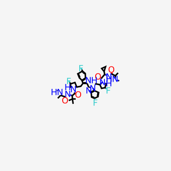 CNC(C)C(=O)NC(C(=O)N1CC(F)CC1Cn1c(-c2[nH]c3cc(F)ccc3c2CC2CC(F)CN2C(=O)C(NC(=O)C(C)NC)C(C)(C)C)nc2cc(F)ccc21)C1CC1